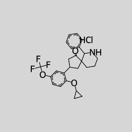 Cl.O=C1CC(c2cc(OC(F)(F)F)ccc2OC2CC2)CC12CCCNC2c1ccccc1